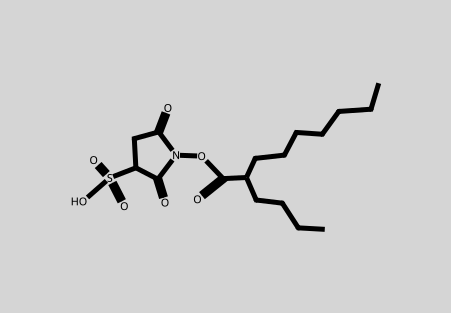 CCCCCCCC(CCCC)C(=O)ON1C(=O)CC(S(=O)(=O)O)C1=O